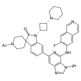 CC(=O)N1CCC2(CC1)C(=O)N([C@H]1C[C@@H](N3CCCCC3)C1)c1cc(-c3cc4ncn(C(C)C)c4c(Nc4cc5ccncc5cc4F)n3)ccc12